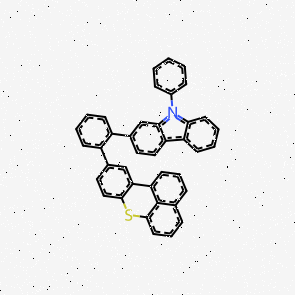 c1ccc(-n2c3ccccc3c3ccc(-c4ccccc4-c4ccc5c(c4)-c4cccc6cccc(c46)S5)cc32)cc1